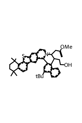 C=C(CC1C(CCO)c2c(cc(C(C)(C)C)c3ccccc23)-c2c3cc4c(cc3cc[n+]21)sc1c2c(ccc14)C(C)(C)CCC2(C)C)OC